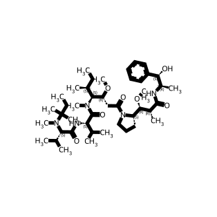 CC[C@H](C)[C@@H]([C@@H](CC(=O)N1CCC[C@H]1[C@H](OC)[C@@H](C)C(=O)N[C@H](C)[C@@H](O)c1ccccc1)OC)N(C)C(=O)[C@@H](NC(=O)[C@H](C(C)C)N(C)C(C)(C)CC)C(C)C